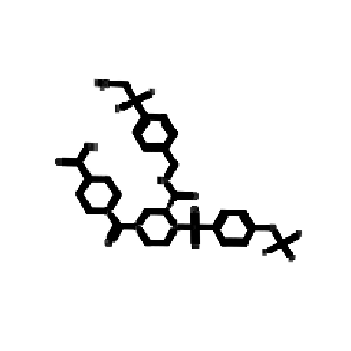 CCC(F)(F)c1ccc(CNC(=O)[C@H]2CN(C(=O)N3CCC(C(=O)O)CC3)CCN2S(=O)(=O)c2ccc(OC(F)(F)F)cc2)cc1